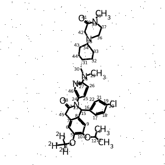 [2H]C([2H])([2H])Oc1cc2c(cc1OC(C)C)C(c1ccc(Cl)cc1)N(c1ccc(N(C)C[C@H]3CC[C@H](N4CCN(C)C(=O)C4)CC3)nc1)C(=O)C2